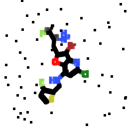 C[C@@H](F)[C@H](N)Cc1oc2c(NCc3sccc3F)cc(Cl)nc2c1Br